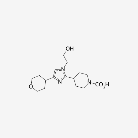 O=C(O)N1CCC(c2nc(C3CCOCC3)cn2CCO)CC1